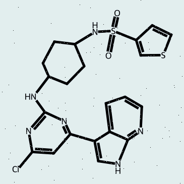 O=S(=O)(NC1CCC(Nc2nc(Cl)cc(-c3c[nH]c4ncccc34)n2)CC1)c1ccsc1